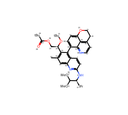 COC(OC)[C@@H](Nc1ccc2c(-c3ccc4c5c(ccnc35)CCO4)c([C@@H](COC(=O)C(C)(C)C)OC(C)(C)C)c(C)cc2n1)C(C)C